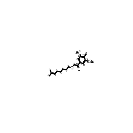 CC(C)=CCCCCCOCC(=O)c1cc(C(C)(C)C)c(C)c(C(C)(C)C)c1